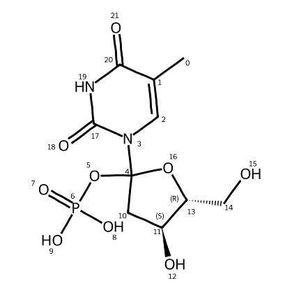 Cc1cn(C2(OP(=O)(O)O)C[C@H](O)[C@@H](CO)O2)c(=O)[nH]c1=O